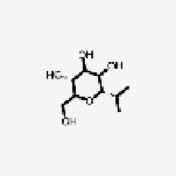 CC(C)[C@@H]1OC(CO)[C@H](O)C(O)C1O